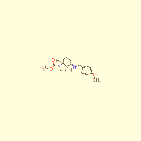 COC(=O)N1CC[C@H]2C(=NCc3ccc(OC)cc3)CCC[C@H]21